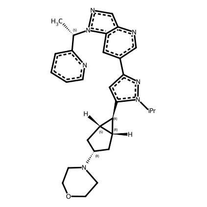 CC(C)n1nc(-c2cnc3cnn([C@@H](C)c4ccccn4)c3c2)cc1[C@H]1[C@@H]2C[C@H](N3CCOCC3)C[C@@H]21